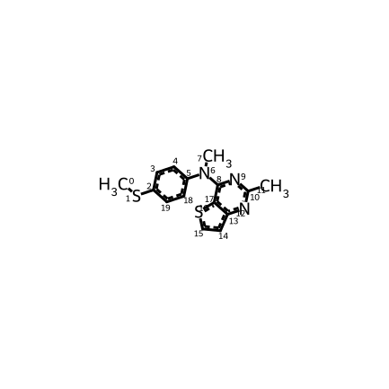 CSc1ccc(N(C)c2nc(C)nc3ccsc23)cc1